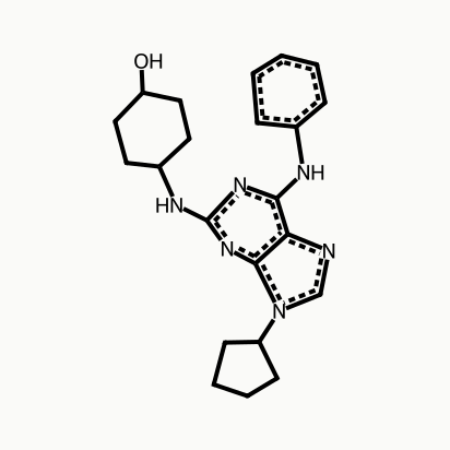 OC1CCC(Nc2nc(Nc3ccccc3)c3ncn(C4CCCC4)c3n2)CC1